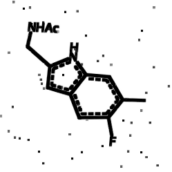 CC(=O)NCc1cc2cc(F)c(C)cc2[nH]1